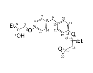 CCC(O)COc1ccc(Cc2ccc(OC(C)(CC)CC3CO3)cc2)cc1